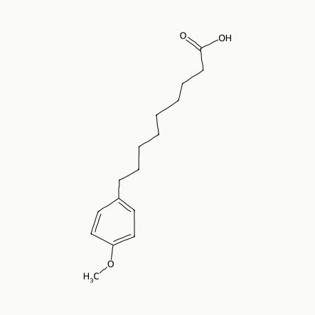 COc1ccc(CCCCCCCCC(=O)O)cc1